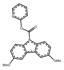 COc1ccc2c(c1)c1cc(OC)ccc1n2C(=O)Oc1ccccn1